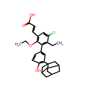 CCOc1c(C=CC(=O)O)cc(Cl)c(CC)c1-c1ccc(O)c(C23CC4CC(CC(C4)C2)C3)c1